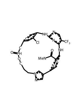 CNC(=O)c1nc2ccc1Nc1nc(ncc1C(F)(F)F)Nc1ccc(cc1Cl)C[PH](=O)OCCCn1cc-2cn1